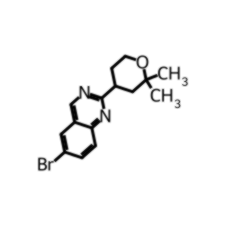 CC1(C)CC(c2ncc3cc(Br)ccc3n2)CCO1